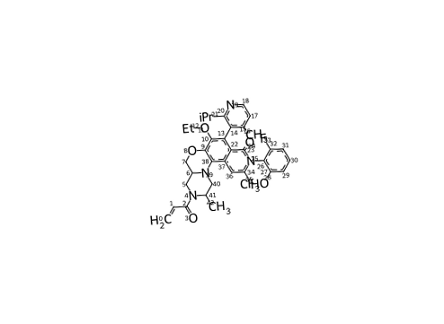 C=CC(=O)N1CC2COc3c(OCC)c(-c4c(C)ccnc4C(C)C)c4c(=O)n(-c5c(O)cccc5F)c(C(F)(F)F)cc4c3N2CC1C